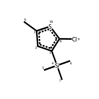 Cc1cc([Si](C)(C)C)c(Cl)s1